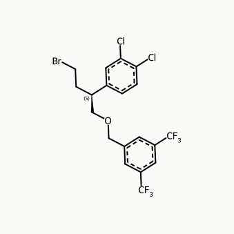 FC(F)(F)c1cc(COC[C@@H](CCBr)c2ccc(Cl)c(Cl)c2)cc(C(F)(F)F)c1